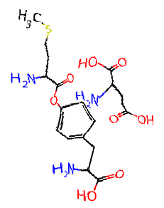 CSCCC(N)C(=O)Oc1ccc(CC(N)C(=O)O)cc1.NC(CC(=O)O)C(=O)O